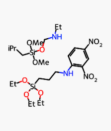 CCNCO[Si](CC(C)C)(OC)OC.CCO[Si](CCCNc1ccc([N+](=O)[O-])cc1[N+](=O)[O-])(OCC)OCC